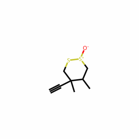 C#CC1(C)CS[S+]([O-])CC1C